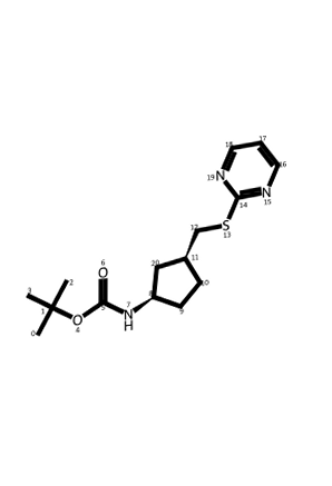 CC(C)(C)OC(=O)N[C@@H]1CC[C@H](CSc2ncccn2)C1